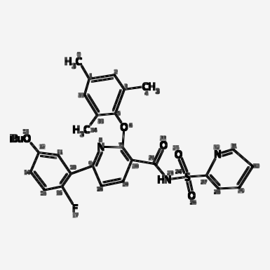 Cc1cc(C)c(Oc2nc(-c3cc(OCC(C)C)ccc3F)ccc2C(=O)NS(=O)(=O)c2ccccn2)c(C)c1